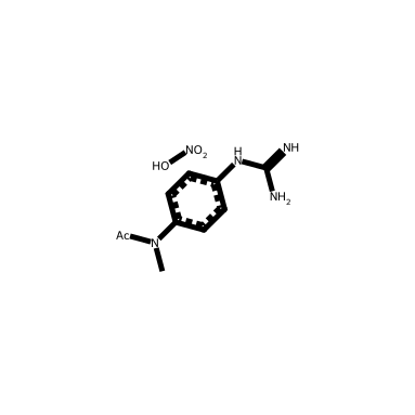 CC(=O)N(C)c1ccc(NC(=N)N)cc1.O=[N+]([O-])O